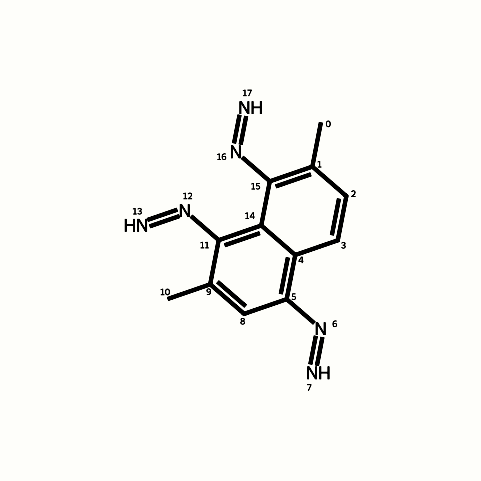 Cc1ccc2c(N=N)cc(C)c(N=N)c2c1N=N